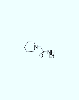 [CH2]CNC(=O)CN1CCCCC1